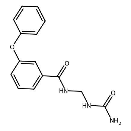 NC(=O)NCNC(=O)c1cccc(Oc2ccccc2)c1